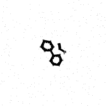 C=CCC.c1ccc(-c2ccccc2)cc1